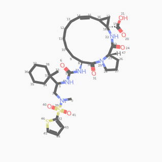 CN(CC(NC(=O)N[C@H]1CCCCC/C=C\C2C[C@@]2(C(=O)O)NC(=O)[C@@H]2CCCN2C1=O)C1(C)CCCCC1)S(=O)(=O)c1cccs1